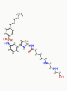 CCCCCc1ccc(S(=O)(=O)Nc2cccc(-c3csc(NC(=O)CCCCCNCCNCCO)n3)c2)cc1